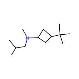 CC(C)CN(C)C1CC(C(C)(C)C)C1